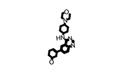 O=C1CCC=C(c2ccc3ncnc(NC4CCC(N5CCOCC5)CC4)c3c2)C1